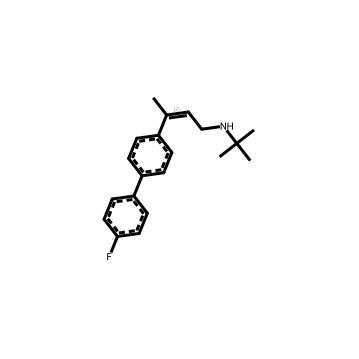 C/C(=C/CNC(C)(C)C)c1ccc(-c2ccc(F)cc2)cc1